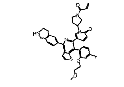 C=CC(=O)N1CCC(n2cc(-c3nc(-c4ccc5c(c4)CCNC5)c4ccsc4c3-c3ccc(F)cc3OCCOC)ccc2=O)C1